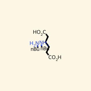 CCCCN.CCCCN.O=C(O)CCCCC(=O)O